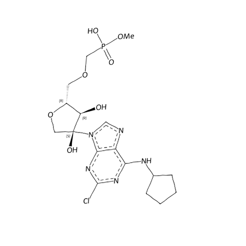 COP(=O)(O)COC[C@H]1OC[C@@](O)(n2cnc3c(NC4CCCC4)nc(Cl)nc32)[C@@H]1O